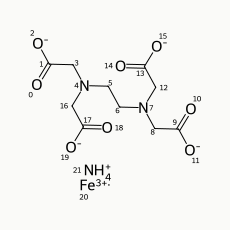 O=C([O-])CN(CCN(CC(=O)[O-])CC(=O)[O-])CC(=O)[O-].[Fe+3].[NH4+]